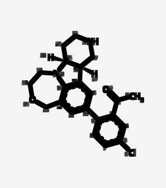 CC(=O)c1cc(Cl)ccc1-c1cc2c3c(c1)[C@@H]1CNCC[C@@H]1N3CCOC2